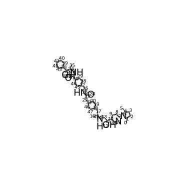 Cc1ccc(C)n1-c1ccc([C@@H](O)CNC(C)Cc2ccc(CC(=O)NCc3ccc(C(=O)N[C@H](C)[C@@H](O)c4ccccc4)cc3)cc2)cn1